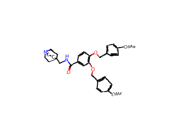 COc1ccc(COc2ccc(C(=O)NCC34CCN(CC3)CC4)cc2OCc2ccc(OC)cc2)cc1